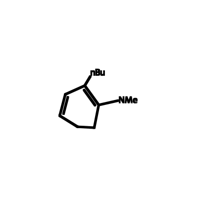 CCCCC1=C(NC)CCC=C1